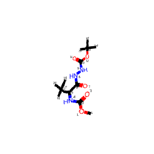 COC(=O)NC(C(=O)NNC(=O)OC(C)(C)C)C(C)(C)C